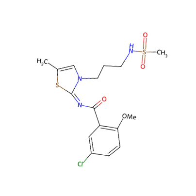 COc1ccc(Cl)cc1C(=O)N=c1sc(C)cn1CCCNS(C)(=O)=O